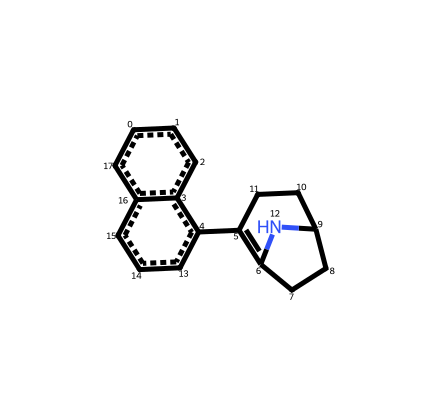 c1ccc2c(C3=C4CCC(CC3)N4)cccc2c1